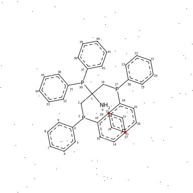 NC(CP(c1ccccc1)c1ccccc1)(CP(c1ccccc1)c1ccccc1)P(c1ccccc1)c1ccccc1